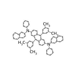 Cc1cc(C)cc(-c2c3ccc(N(c4ccccc4)c4ccc5ccccc5c4)cc3c(-c3cc(C)cc(C)c3)c3ccc(N(c4ccccc4)c4ccc5ccccc5c4)cc23)c1